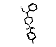 Cc1ccc(S(=O)(=O)N2CCN([C@@H](CO)c3ccccc3)CC2)cc1